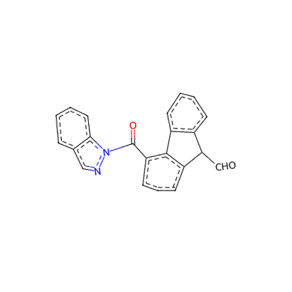 O=CC1c2ccccc2-c2c(C(=O)n3ncc4ccccc43)cccc21